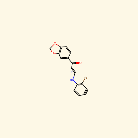 O=C(/C=C/Nc1ccc#cc1Br)c1ccc2c(c1)OCO2